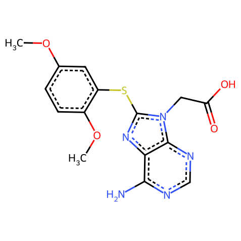 COc1ccc(OC)c(Sc2nc3c(N)ncnc3n2CC(=O)O)c1